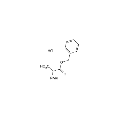 CNC(C(=O)O)C(=O)OCc1ccccc1.Cl